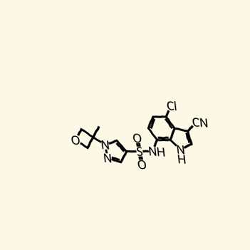 CC1(n2cc(S(=O)(=O)Nc3ccc(Cl)c4c(C#N)c[nH]c34)cn2)COC1